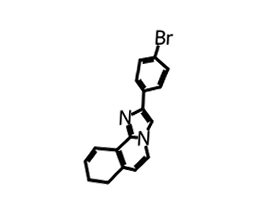 Brc1ccc(-c2cn3ccc4c(c3n2)C=CCC4)cc1